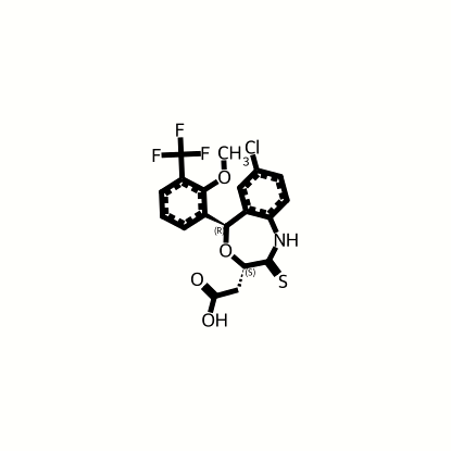 COc1c([C@@H]2O[C@@H](CC(=O)O)C(=S)Nc3ccc(Cl)cc32)cccc1C(F)(F)F